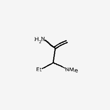 C=C(N)C(CC)NC